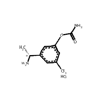 C[C@@H](N)c1cc(OC(N)=O)cc(C(F)(F)F)c1.Cl